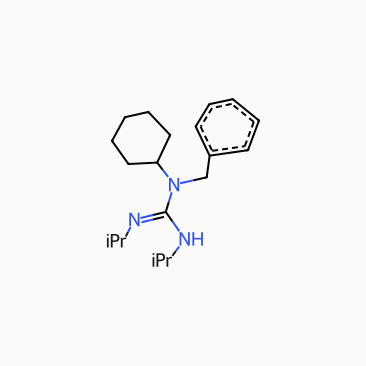 CC(C)N=C(NC(C)C)N(Cc1ccccc1)C1CCCCC1